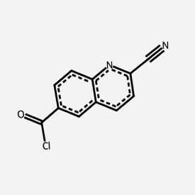 N#Cc1ccc2cc(C(=O)Cl)ccc2n1